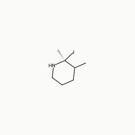 CC1CCCN[C@@]1(C)I